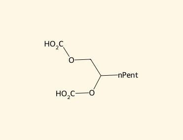 CCCCCC(COC(=O)O)OC(=O)O